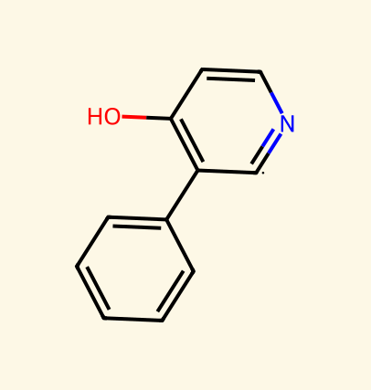 Oc1ccn[c]c1-c1ccccc1